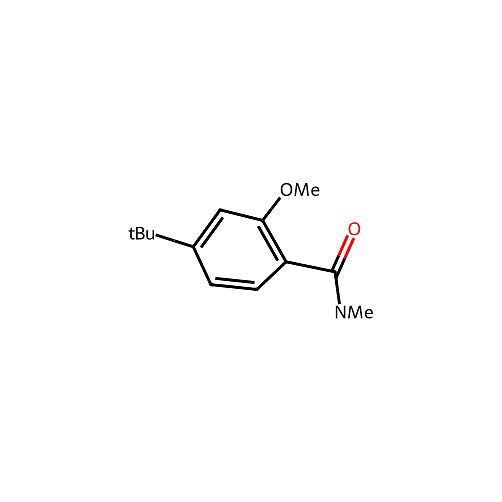 CNC(=O)c1ccc(C(C)(C)C)cc1OC